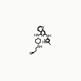 Cc1cc(Nc2cc3ncccc3c(N[C@H]3CC[C@H](NCCC#N)CC3)n2)n[nH]1